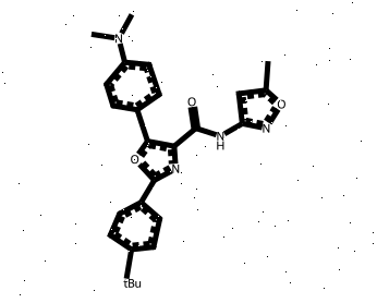 Cc1cc(NC(=O)c2nc(-c3ccc(C(C)(C)C)cc3)oc2-c2ccc(N(C)C)cc2)no1